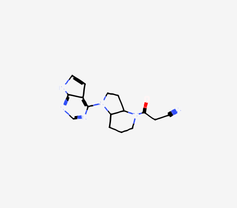 N#CCC(=O)N1CCCC2C1CCN2c1ncnc2[nH]ccc12